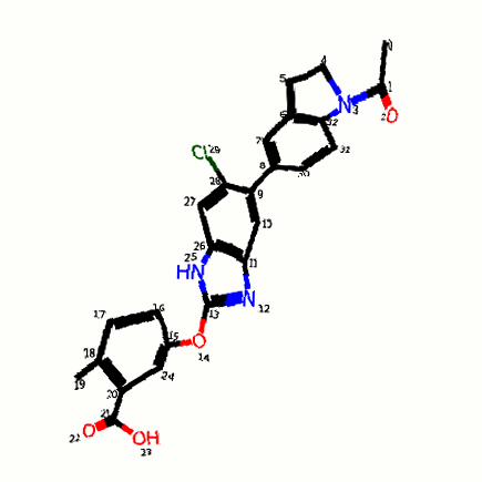 CC(=O)N1CCc2cc(-c3cc4nc(Oc5ccc(C)c(C(=O)O)c5)[nH]c4cc3Cl)ccc21